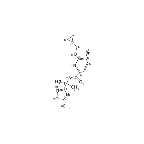 Cc1nc(C(C)(C)NC(=O)c2ccc(Br)c(OCC3CC3)n2)no1